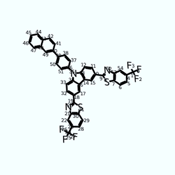 FC(F)(F)c1ccc2sc(-c3ccc4c(c3)c3cc(-c5nc6cc(C(F)(F)F)ccc6s5)ccc3n4-c3ccc(-c4ccc5ccccc5c4)cc3)nc2c1